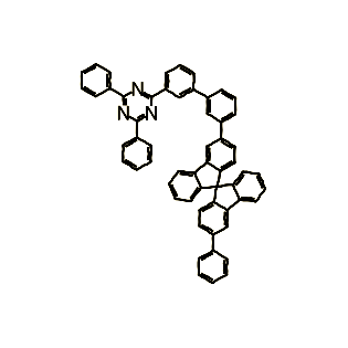 c1ccc(-c2ccc3c(c2)-c2ccccc2C32c3ccccc3-c3cc(-c4cccc(-c5cccc(-c6nc(-c7ccccc7)nc(-c7ccccc7)n6)c5)c4)ccc32)cc1